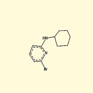 Brc1cccc(NC2CCCCC2)n1